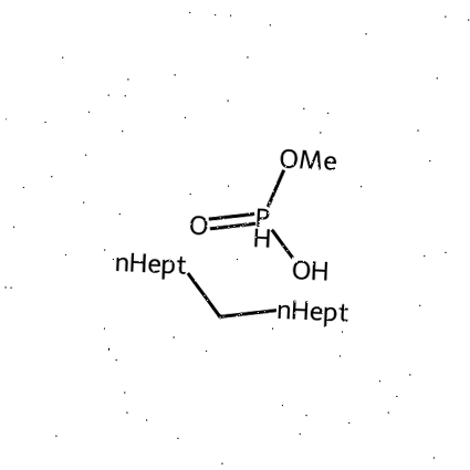 CCCCCCCCCCCCCCC.CO[PH](=O)O